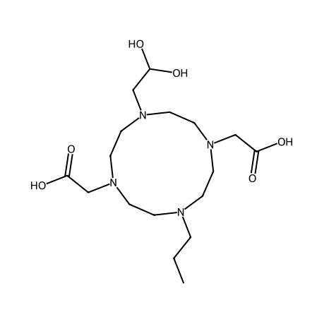 CCCN1CCN(CC(=O)O)CCN(CC(O)O)CCN(CC(=O)O)CC1